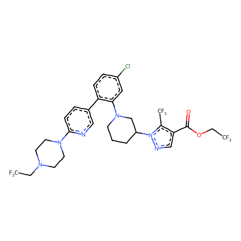 O=C(OCC(F)(F)F)c1cnn(C2CCCN(c3cc(Cl)ccc3-c3ccc(N4CCN(CC(F)(F)F)CC4)nc3)C2)c1C(F)(F)F